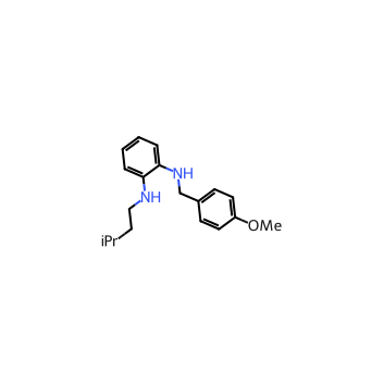 COc1ccc(CNc2ccccc2NCCC(C)C)cc1